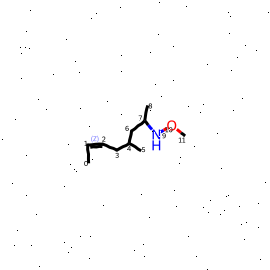 C/C=C\CC(C)CC(C)NOC